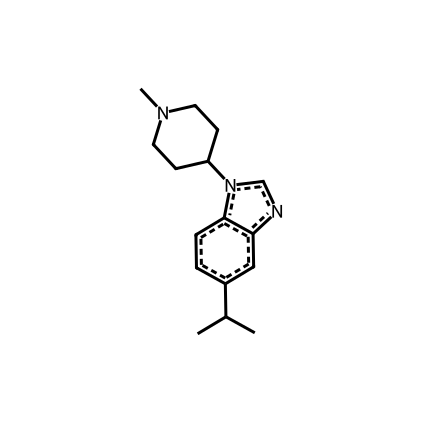 CC(C)c1ccc2c(c1)ncn2C1CCN(C)CC1